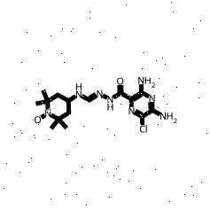 CC1(C)CC(NC=NNC(=O)c2nc(Cl)c(N)nc2N)CC(C)(C)N1[O]